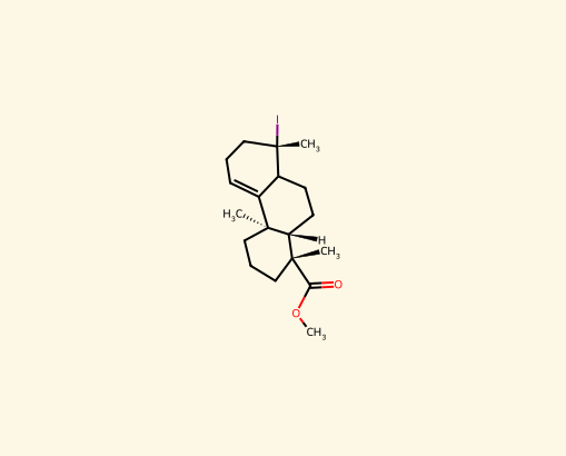 COC(=O)[C@]1(C)CCC[C@@]2(C)C3=CCC[C@](C)(I)C3CC[C@H]12